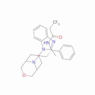 Cc1nc2ccccc2n1C1CC2COCC(C1)N2CC[C@H](NC(=O)CC(F)(F)F)c1ccccc1